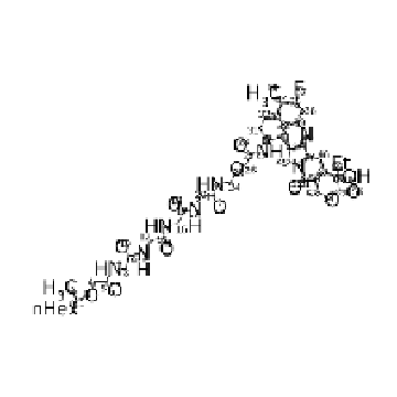 CCCCCCC(C)OCC(=O)NCC(=O)NCC(=O)NCC(=O)NCC(=O)NCOCC(=O)N[C@H]1CCc2c(C)c(F)cc3nc4c(c1c23)Cn1c-4cc2c(c1=O)COC(=O)[C@]2(O)CC